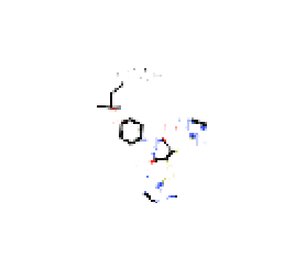 COCCC(C)(C)Oc1ccc(N2C(=O)C(Sc3nccn3C)=C(Sc3nccn3C)C2=O)cc1